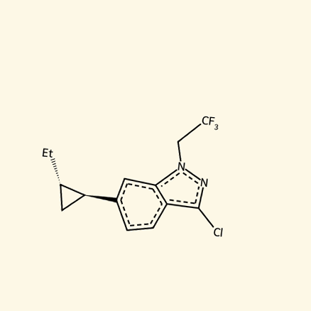 CC[C@H]1C[C@@H]1c1ccc2c(Cl)nn(CC(F)(F)F)c2c1